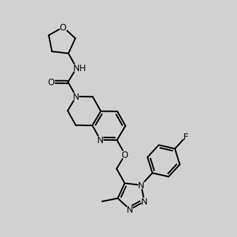 Cc1nnn(-c2ccc(F)cc2)c1COc1ccc2c(n1)CCN(C(=O)NC1CCOC1)C2